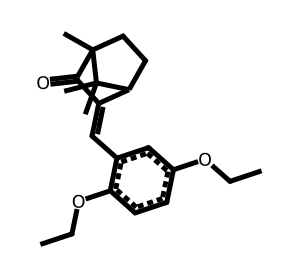 CCOc1ccc(OCC)c(C=C2C(=O)C3(C)CCC2C3(C)C)c1